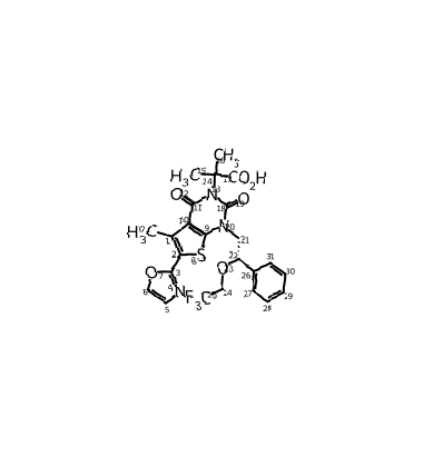 Cc1c(-c2ncco2)sc2c1c(=O)n(C(C)(C)C(=O)O)c(=O)n2C[C@@H](OCC(F)(F)F)c1ccccc1